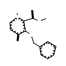 COC(=O)c1c(OCc2ccccc2)c(=O)ccn1C